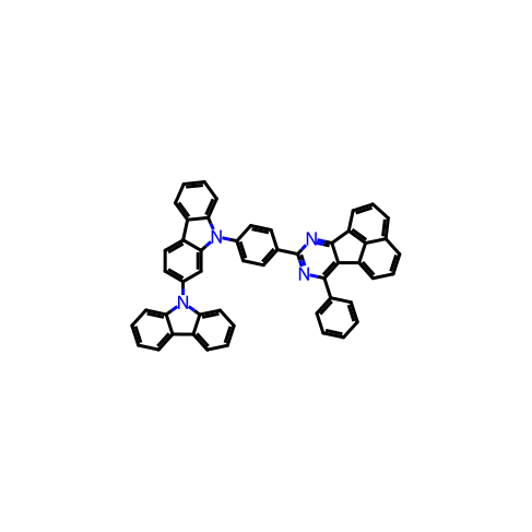 c1ccc(-c2nc(-c3ccc(-n4c5ccccc5c5ccc(-n6c7ccccc7c7ccccc76)cc54)cc3)nc3c2-c2cccc4cccc-3c24)cc1